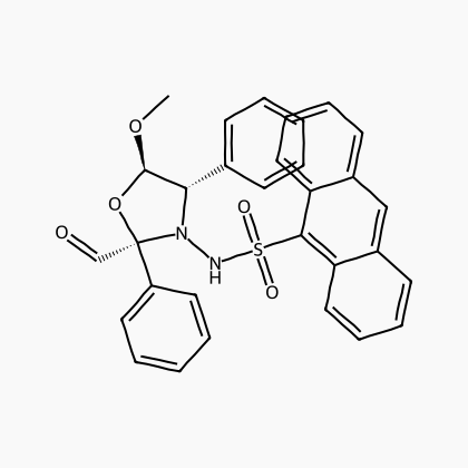 CO[C@@H]1O[C@](C=O)(c2ccccc2)N(NS(=O)(=O)c2c3ccccc3cc3ccccc23)[C@H]1c1ccccc1